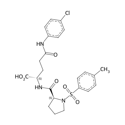 Cc1ccc(S(=O)(=O)N2CCC[C@H]2C(=O)N[C@@H](CCC(=O)Nc2ccc(Cl)cc2)C(=O)O)cc1